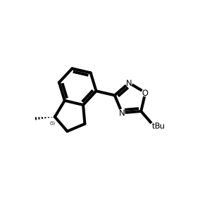 C[C@H]1CCc2c(-c3noc(C(C)(C)C)n3)cccc21